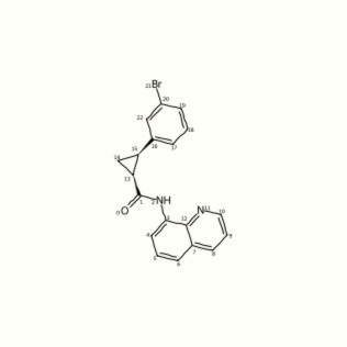 O=C(Nc1cccc2cccnc12)[C@H]1C[C@H]1c1cccc(Br)c1